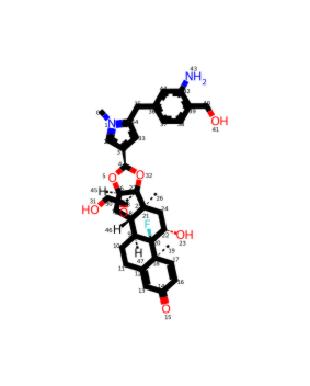 Cn1cc([C@@H]2O[C@@H]3C[C@H]4[C@@H]5CCC6=CC(=O)C=C[C@]6(C)[C@@]5(F)[C@@H](O)C[C@]4(C)[C@]3(C(=O)CO)O2)cc1Cc1ccc(CO)c(N)c1